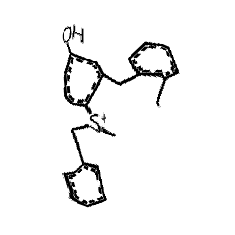 Cc1ccccc1Cc1cc(O)ccc1[S+](C)Cc1ccccc1